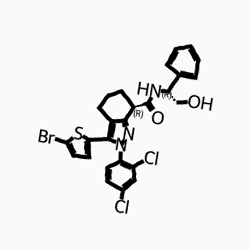 O=C(N[C@@H](CO)c1ccccc1)[C@@H]1CCCc2c1nn(-c1ccc(Cl)cc1Cl)c2-c1ccc(Br)s1